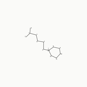 CC(C)C[CH]CCN1CCCCC1